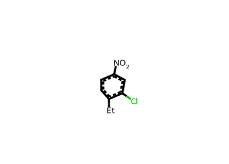 [CH2]Cc1ccc([N+](=O)[O-])cc1Cl